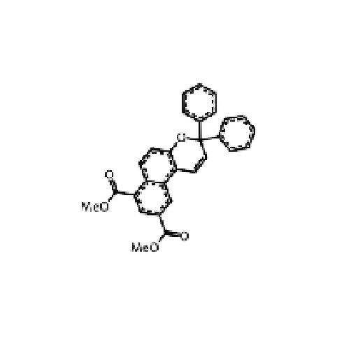 COC(=O)c1cc(C(=O)OC)c2ccc3c(c2c1)C=CC(c1ccccc1)(c1ccccc1)O3